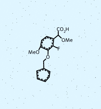 COc1ccc(C(OC)C(=O)O)c(F)c1OCc1ccccc1